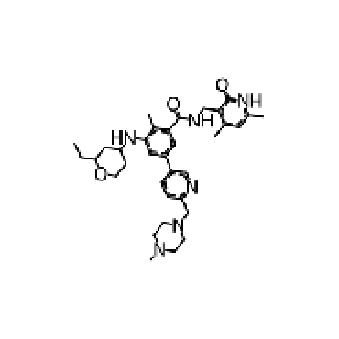 CCC1CC(Nc2cc(-c3ccc(CN4CCN(C)CC4)nc3)cc(C(=O)NCc3c(C)cc(C)[nH]c3=O)c2C)CCO1